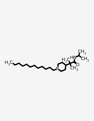 CCCCCCCCCCCCN1CCC(C(C)(C)C(=O)NC(C)C)CC1